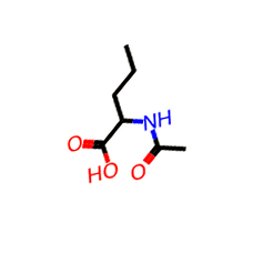 CCCC(NC(C)=O)C(=O)O